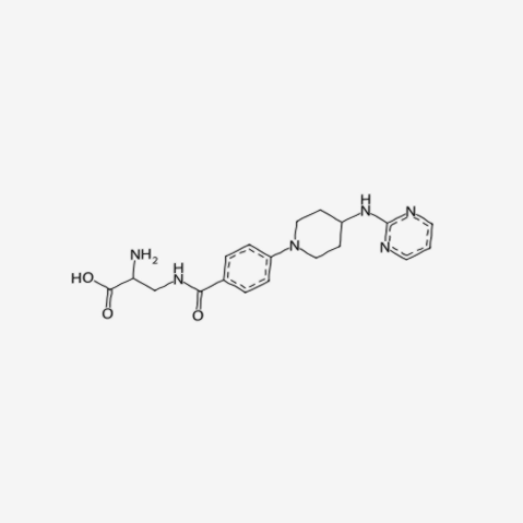 NC(CNC(=O)c1ccc(N2CCC(Nc3ncccn3)CC2)cc1)C(=O)O